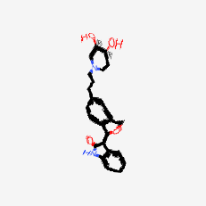 O=C1Nc2ccccc2C1=C1OCc2cc(CCCN3CC[C@@H](O)[C@H](O)C3)ccc21